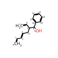 C=C/C=C/CC(C=C)C(O)c1ccccc1